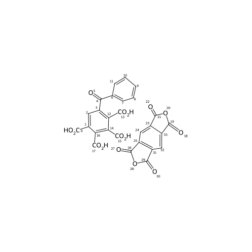 O=C(O)c1cc(C(=O)c2ccccc2)c(C(=O)O)c(C(=O)O)c1C(=O)O.O=c1oc(=O)c2cc3c(=O)oc(=O)c3cc12